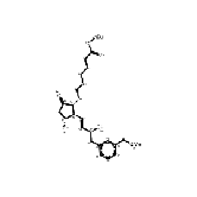 CCCCOC(=O)CCCSCC[C@H]1C(=O)C[C@@H](O)[C@@H]1C=C[C@@H](O)Cc1cccc(COC)c1